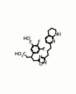 Cl.O=C(O)CC(Cc1nc(CCCc2ccc3c(n2)NCCC3)no1)c1cc(F)c(F)c(F)c1